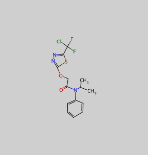 CC(C)N(C(=O)COc1nnc(C(F)(F)Cl)s1)c1ccccc1